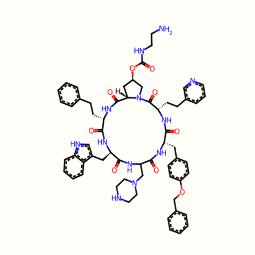 NCCNC(=O)O[C@@H]1C[C@H]2C(=O)N[C@@H](CCc3ccccc3)C(=O)N[C@H](Cc3c[nH]c4ccccc34)C(=O)NC(CN3CCNCC3)C(=O)N[C@@H](Cc3ccc(OCc4ccccc4)cc3)C(=O)N[C@@H](CCc3cccnc3)C(=O)N2C1